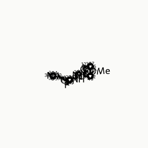 COc1cccc(CN(C(=O)O[C@@H](C)c2ccccc2)c2ccnc(Nc3ccc(OCCCN4CCN(C)CC4)c(F)c3)n2)c1